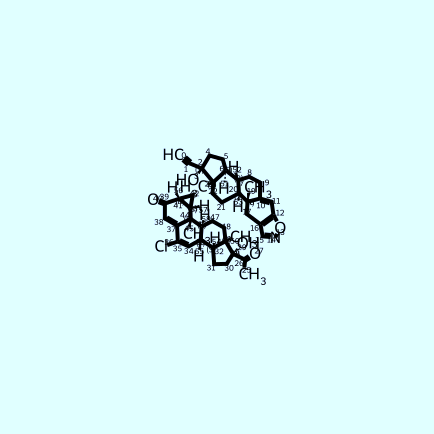 C#C[C@]1(O)CC[C@H]2[C@@H]3CCC4=Cc5oncc5C[C@]4(C)[C@H]3CC[C@@]21C.CC(=O)[C@@]1(O)CC[C@H]2[C@@H]3C=C(Cl)C4=CC(=O)[C@@H]5C[C@@H]5[C@]4(C)[C@H]3CC[C@@]21C